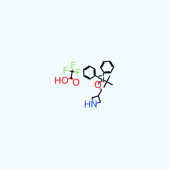 CC(C)(C)[Si](OCC1CNC1)(c1ccccc1)c1ccccc1.O=C(O)C(F)(F)F